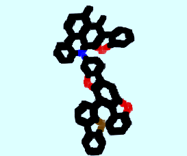 CC1C=CC2(C)C3=C1C(C)c1c(oc4ccccc14)C3(C)N(c1ccc3c(c1)oc1c(-c4cccc5c4sc4ccccc45)c4c(cc13)oc1ccccc14)c1ccccc12